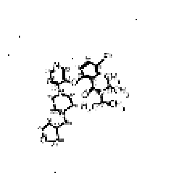 CC(C)N(C(=O)c1cc(F)ccc1Oc1cncnc1N1CCN(CC2CCOCC2)CC1)C(C)C